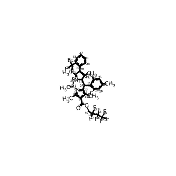 CB(F)n1c(C)c(C(=O)OCC(F)(F)C(F)(F)C(F)(F)F)c(C)c1C(c1c(C)cc(C)cc1C)C1N=C(C)C(c2ccccc2C(F)(F)F)=C1C